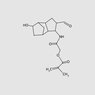 C=C(C)C(=O)OCC(=O)NC1C(C=O)CC2C3CC(CC3O)C21